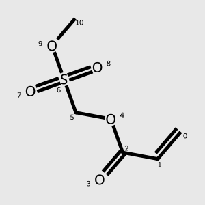 C=CC(=O)OCS(=O)(=O)OC